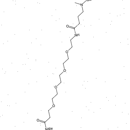 CNC(=O)CCOCCOCCOCCOCCNC(=O)CCCN(C)C(C)(C)C